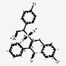 C=CC(c1ccc(Cl)cc1)S(=O)(=O)C(Cc1ccc(Br)cc1)=C(C=O)c1ccccc1